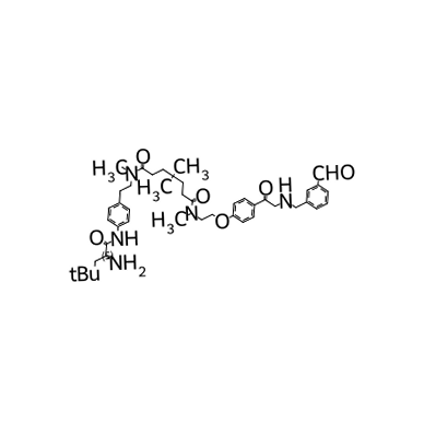 CN(CCOc1ccc(C(=O)CNCc2cccc(C=O)c2)cc1)C(=O)CCC(C)(C)CCC(=O)N(C)CCc1ccc(NC(=O)[C@@H](N)CC(C)(C)C)cc1